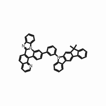 CC1(C)c2ccccc2-c2cc3c4ccccc4n(-c4cccc(-c5ccc6c7c(ccc8cccnc87)c7nc8ccccc8n7c6c5)c4)c3cc21